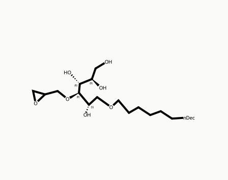 CCCCCCCCCCCCCCCCOC[C@H](O)[C@@H](OCC1CO1)[C@H](O)[C@H](O)CO